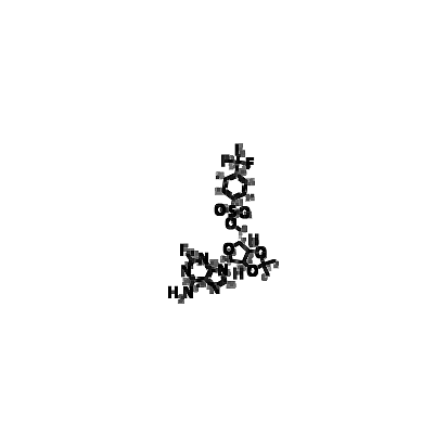 CC1(C)O[C@@H]2[C@H](O1)[C@@H](COS(=O)(=O)c1ccc(C(F)(F)F)cc1)O[C@H]2n1cnc2c(N)nc(F)nc21